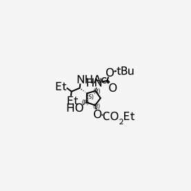 CCOC(=O)O[C@@H]1C[C@@H](NC(=O)OC(C)(C)C)[C@@H](C(NC(C)=O)C(CC)CC)[C@H]1O